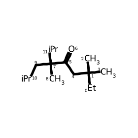 CCC(C)(C)CC(=O)C(C)(CC(C)C)C(C)C